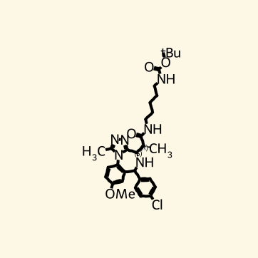 COc1ccc2c(c1)C(c1ccc(Cl)cc1)N[C@@H]([C@@H](C)C(=O)NCCCCCNC(=O)OC(C)(C)C)c1nnc(C)n1-2